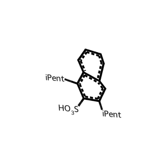 CCCC(C)c1cc2ccccc2c(C(C)CCC)c1S(=O)(=O)O